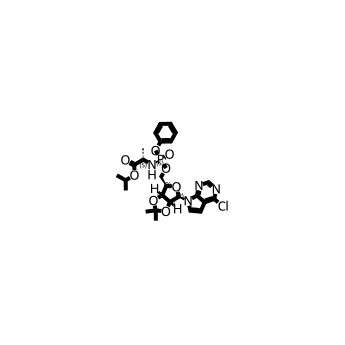 CC(C)OC(=O)[C@H](C)N[P@](=O)(OC[C@H]1O[C@@H](n2ccc3c(Cl)ncnc32)[C@@H]2OC(C)(C)O[C@@H]21)Oc1ccccc1